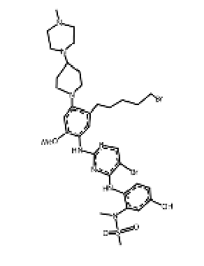 COc1cc(N2CCC(N3CCN(C)CC3)CC2)c(CCCCCBr)cc1Nc1ncc(Br)c(Nc2ccc(O)cc2N(C)S(C)(=O)=O)n1